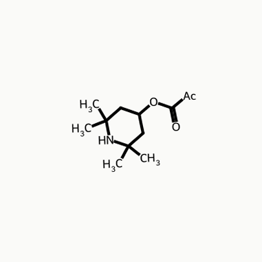 CC(=O)C(=O)OC1CC(C)(C)NC(C)(C)C1